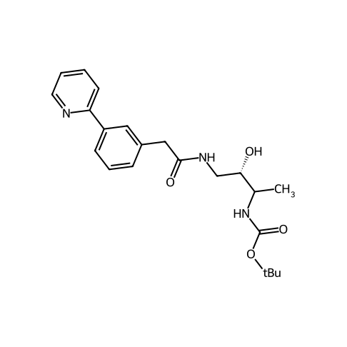 CC(NC(=O)OC(C)(C)C)[C@@H](O)CNC(=O)Cc1cccc(-c2ccccn2)c1